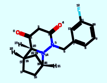 O=C1CC(=O)N(Cc2cccc(F)c2)N2[C@@H]3CC[C@@H](C3)[C@@H]12